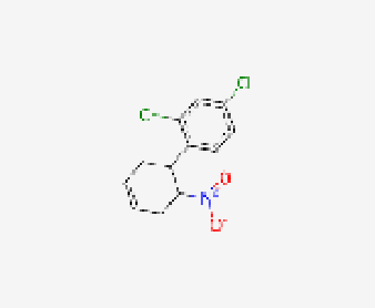 O=[N+]([O-])C1CC=CCC1c1ccc(Cl)cc1Cl